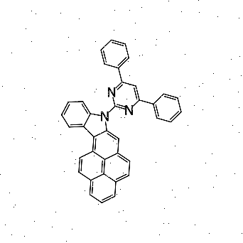 c1ccc(-c2cc(-c3ccccc3)nc(-n3c4ccccc4c4c5ccc6cccc7ccc(cc43)c5c76)n2)cc1